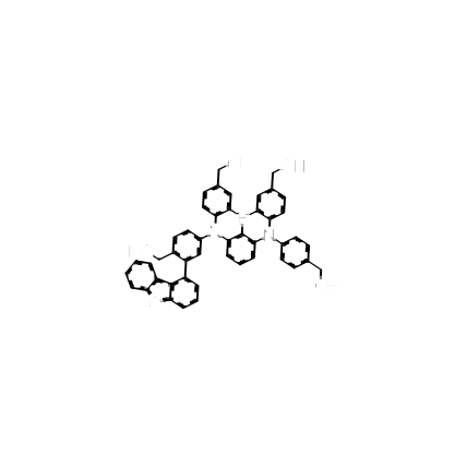 CCc1ccc(N2c3ccc(CC)cc3B3c4cc(CC)ccc4N(c4ccc(CC)c(-c5cccc6oc7ccccc7c56)c4)c4cccc2c43)cc1